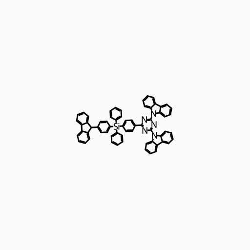 c1ccc([Si](c2ccccc2)(c2ccc(-c3nc(-n4c5ccccc5c5ccccc54)nc(-n4c5ccccc5c5ccccc54)n3)cc2)c2ccc(C3c4ccccc4-c4ccccc43)cc2)cc1